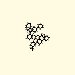 CC1CC2=C3B(C4CC(C(C)(C)C)CCC4N2C2CCC(C(C)(C)C)C=C2C2=CCC(C4=CCCCC4)CC2)C2CC(C4CCCCC4)CC4C2N(C3C1)C(C)(C)C41CCCCC1